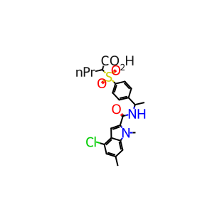 CCCC(C(=O)O)S(=O)(=O)c1ccc(C(C)NC(=O)c2cc3c(Cl)cc(C)cc3n2C)cc1